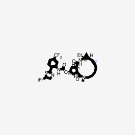 CC[C@@]12C[C@H]1/C=C\CCCCN(C)C(=O)[C@@H]1C[C@H](OC(=O)Nc3cc(C(F)(F)F)ccc3C3=NCC(C(C)C)S3)C[C@H]1C(=O)N2